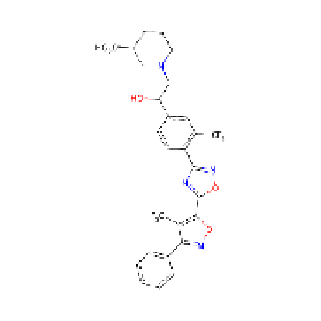 O=C(O)[C@H]1CCCN(CC(O)c2ccc(-c3noc(-c4onc(-c5ccccc5)c4C(F)(F)F)n3)c(C(F)(F)F)c2)C1